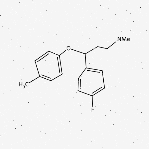 CNCCC(Oc1ccc(C)cc1)c1ccc(F)cc1